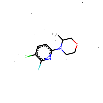 CC1COCCN1c1ccc(Cl)c(F)n1